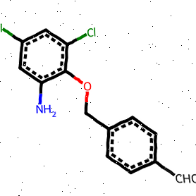 Nc1cc(Cl)cc(Cl)c1OCc1ccc([C]=O)cc1